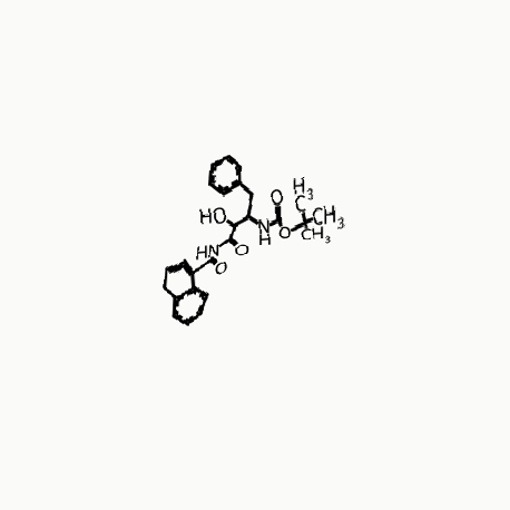 CC(C)(C)OC(=O)NC(Cc1ccccc1)C(O)C(=O)NC(=O)C1=C=CCc2ccccc21